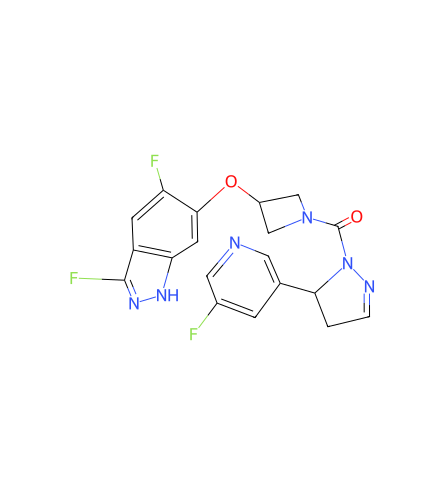 O=C(N1CC(Oc2cc3[nH]nc(F)c3cc2F)C1)N1N=CCC1c1cncc(F)c1